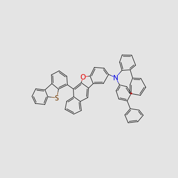 c1ccc(-c2ccc(N(c3ccc4oc5c(-c6cccc7c6sc6ccccc67)c6ccccc6cc5c4c3)c3ccccc3-c3ccccc3)cc2)cc1